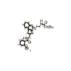 CC(C)(C)OC(=O)NCCSc1nc2ccccc2c2cc(CNC(=O)c3ccccc3OC(F)(F)F)nn12